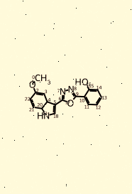 COC1=CC2C(c3nnc(-c4ccccc4O)o3)=CNC2C=C1